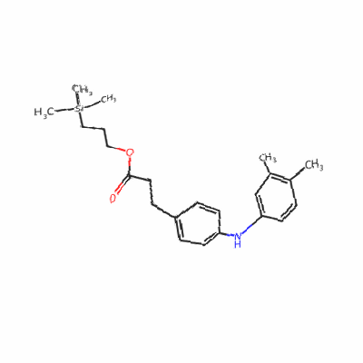 Cc1ccc(Nc2ccc(CCC(=O)OCCC[Si](C)(C)C)cc2)cc1C